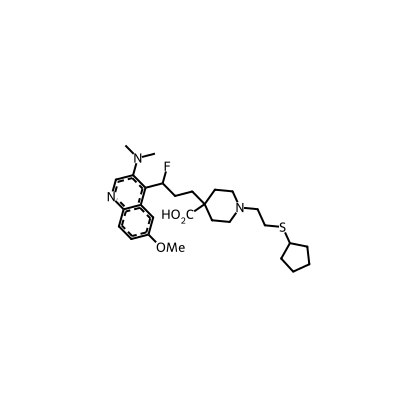 COc1ccc2ncc(N(C)C)c(C(F)CCC3(C(=O)O)CCN(CCSC4CCCC4)CC3)c2c1